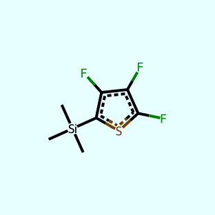 C[Si](C)(C)c1sc(F)c(F)c1F